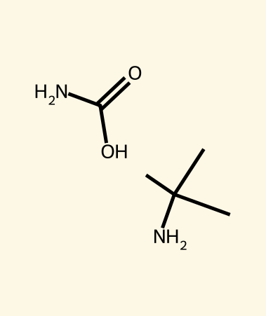 CC(C)(C)N.NC(=O)O